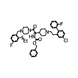 CCSc1cc(F)ccc1CN1CCN(C(=O)[C@H](NC(=O)OCc2ccccc2)C2CCN(CCc3cc(Cl)ccc3-c3ccccc3F)CC2)CC1